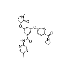 Cc1cnc(NC(=O)c2cc(Oc3ccc(C(=O)N4CCC4)nc3)cc(O[C@H]3CCN(C)C3=O)c2)cn1